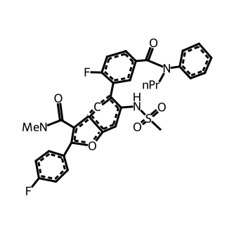 CCCN(C(=O)c1ccc(F)c(-c2cc3c(C(=O)NC)c(-c4ccc(F)cc4)oc3cc2NS(C)(=O)=O)c1)c1ccccc1